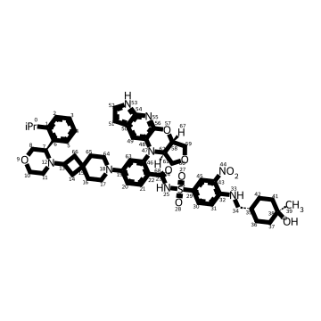 CC(C)c1ccccc1[C@@H]1COCCN1C1CC2(CCN(c3ccc(C(=O)NS(=O)(=O)c4ccc(NC[C@H]5CC[C@](C)(O)CC5)c([N+](=O)[O-])c4)c(N4c5cc6cc[nH]c6nc5O[C@@H]5COC[C@H]54)c3)CC2)C1